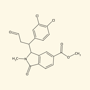 COC(=O)c1ccc2c(c1)C(C(CC=O)c1ccc(Cl)c(Cl)c1)N(C)C2=O